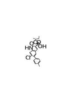 CCC(C)OP(=O)(O)c1cc2cc(-c3ccc(C)cc3)c(Cl)cc2[nH]c1=O